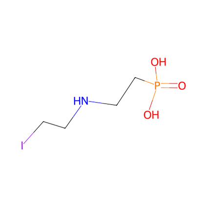 O=P(O)(O)CCNCCI